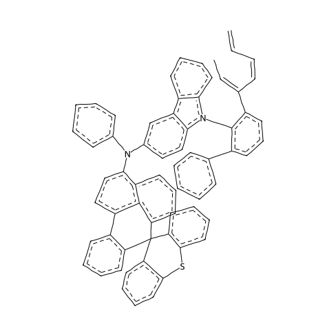 C=C/C=C\C(=C/C)c1cccc(-c2ccccc2)c1-n1c2ccccc2c2cc(N(c3ccccc3)c3ccc4c5c(cccc35)C3(c5ccccc5Sc5ccccc53)c3ccccc3-4)ccc21